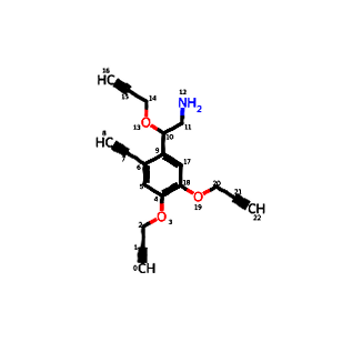 C#CCOc1cc(C#C)c(C(CN)OCC#C)cc1OCC#C